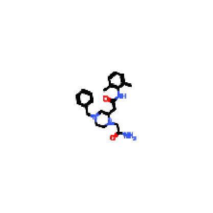 Cc1cccc(C)c1NC(=O)CC1CN(Cc2ccccc2)CCN1CC(N)=O